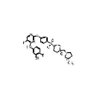 Cc1cc(Nc2nc(Nc3ccc(S(=O)(=O)N4CCC(O)(CN5CC[C@@H](C)C5)CC4)cc3)ncc2F)ccc1F